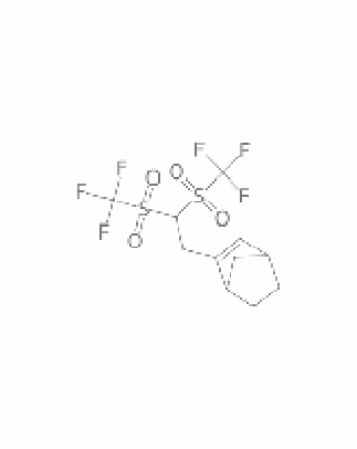 O=S(=O)(C(CC1=CC2CCC1C2)S(=O)(=O)C(F)(F)F)C(F)(F)F